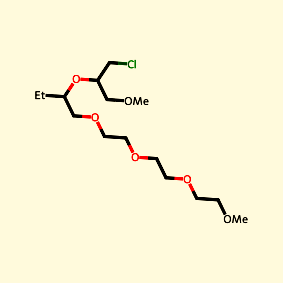 CCC(COCCOCCOCCOC)OC(CCl)COC